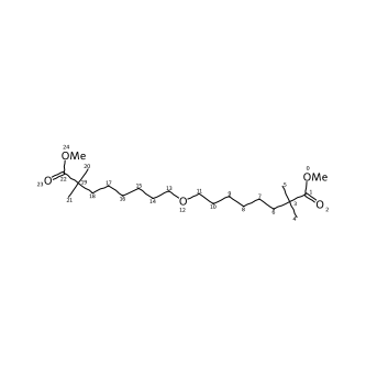 COC(=O)C(C)(C)CCCCCCOCCCCCCC(C)(C)C(=O)OC